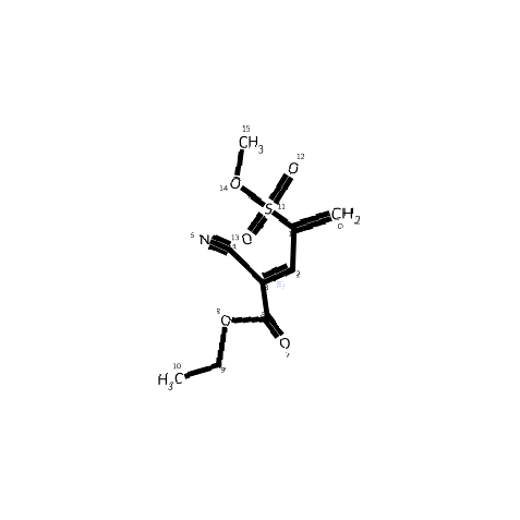 C=C(/C=C(\C#N)C(=O)OCC)S(=O)(=O)OC